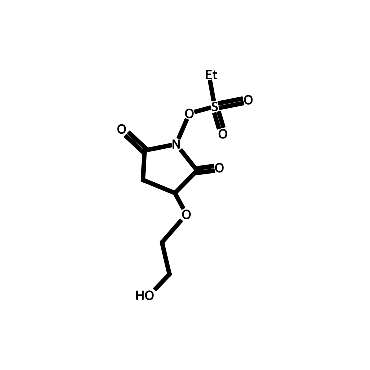 CCS(=O)(=O)ON1C(=O)CC(OCCO)C1=O